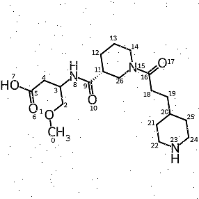 COCC(CC(=O)O)NC(=O)[C@@H]1CCCN(C(=O)CCC2CCNCC2)C1